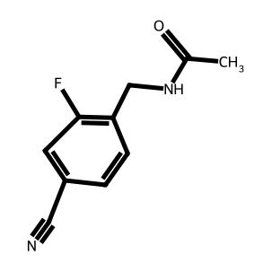 CC(=O)NCc1ccc(C#N)cc1F